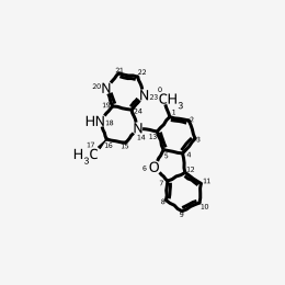 Cc1ccc2c(oc3ccccc32)c1N1C[C@@H](C)Nc2nccnc21